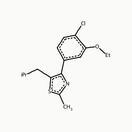 CCOc1cc(-c2nc(C)sc2CC(C)C)ccc1Cl